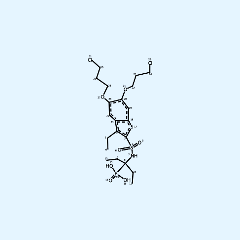 CCc1c(S(=O)(=O)NC(CC)(CC)P(=O)(O)O)sc2cc(OCCCCl)c(OCCCCl)cc12